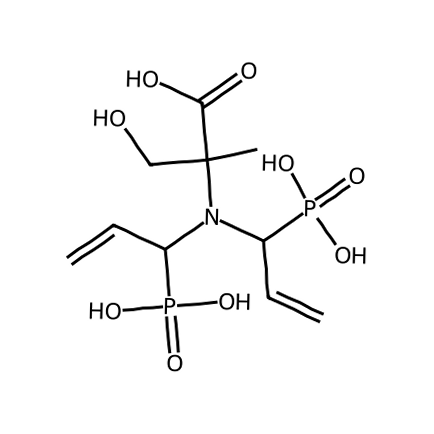 C=CC(N(C(C=C)P(=O)(O)O)C(C)(CO)C(=O)O)P(=O)(O)O